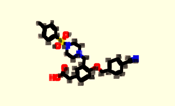 Cc1ccc(S(=O)(=O)N2CCN(Cc3cc(CC(=O)O)ccc3OCc3ccc(C#N)cc3)CC2)cc1